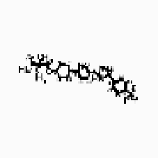 CC(C)(COC1CCN(c2ccc(-c3nnc(-c4ccc(C(F)(F)F)cc4)[nH]3)cn2)CC1)C(=O)O